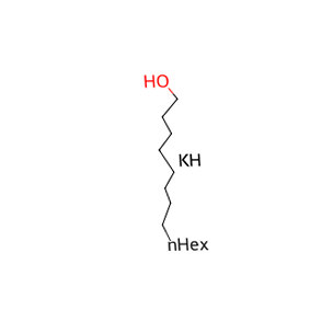 CCCCCCCCCCCCCCO.[KH]